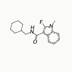 Cn1c(F)c(C(=O)NCC2CCCCC2)c2ccccc21